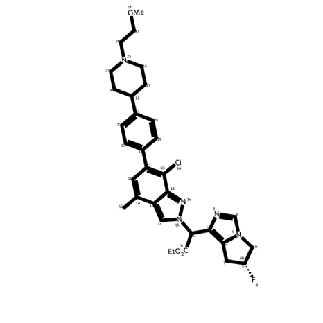 CCOC(=O)C(c1ncn2c1C[C@@H](F)C2)n1cc2c(C)cc(-c3ccc(C4CCN(CCOC)CC4)cc3)c(Cl)c2n1